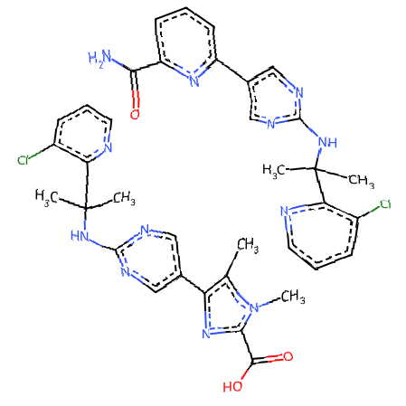 CC(C)(Nc1ncc(-c2cccc(C(N)=O)n2)cn1)c1ncccc1Cl.Cc1c(-c2cnc(NC(C)(C)c3ncccc3Cl)nc2)nc(C(=O)O)n1C